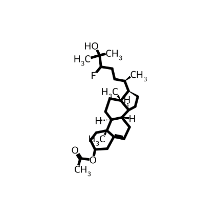 CC(=O)OC1CC[C@@]2(C)C(=CC[C@H]3[C@@H]4CC[C@H]([C@H](C)CCC(F)C(C)(C)O)[C@@]4(C)CC[C@@H]32)C1